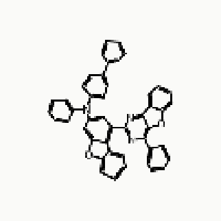 c1ccc(-c2ccc(N(c3ccccc3)c3cc(-c4nc(-c5ccccc5)c5oc6ccccc6c5n4)c4c(c3)oc3ccccc34)cc2)cc1